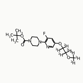 [2H]C([2H])([2H])OC([2H])([2H])C([2H])([2H])Oc1cnc(N2CCN(C(=O)OC(C)(C)C)CC2)c(F)c1